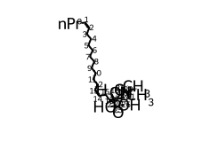 CCC/C=C\CCCCCCCCCC/C=C\CCC(O)(C[N+](C)(C)C)P(=O)(O)O